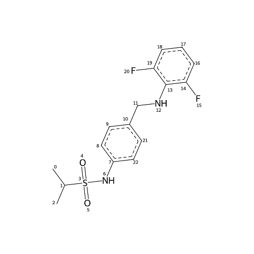 CC(C)S(=O)(=O)Nc1ccc(CNc2c(F)cccc2F)cc1